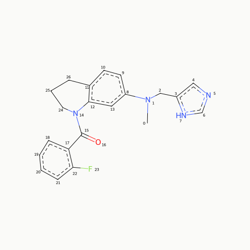 CN(Cc1cnc[nH]1)c1ccc2c(c1)N(C(=O)c1ccccc1F)CCC2